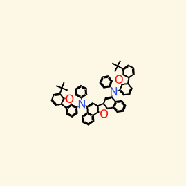 CC(C)(C)C1=CC=CC2c3cccc(N(C4=CC5C(OC6c7ccccc7C(N(C7=CC=CC8C7OC7C(C(C)(C)C)=CC=CC78)c7ccccc7)=CC65)c5ccccc54)c4ccccc4)c3OC12